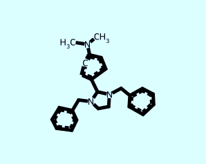 CN(C)c1ccc(C2N(Cc3ccccc3)CCN2Cc2ccccc2)cc1